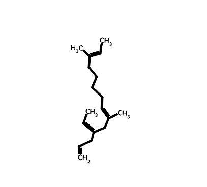 C=CCC(=CC)CC(C)=CCCCCC(C)=CC